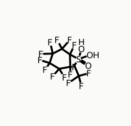 O=S(O)(O)(CC(F)(F)F)C1(F)C(F)(F)C(F)(F)C(F)(F)C(F)(F)C1(F)F